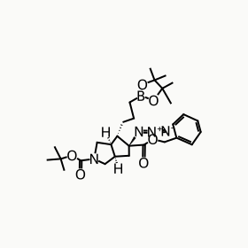 CC(C)(C)OC(=O)N1C[C@@H]2C[C@@](N=[N+]=[N-])(C(=O)OCc3ccccc3)[C@@H](CCCB3OC(C)(C)C(C)(C)O3)[C@@H]2C1